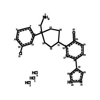 Cl.Cl.Cl.NCC1(c2cccc(Cl)c2)CCC(n2nc(-c3cn[nH]c3)ccc2=O)CC1